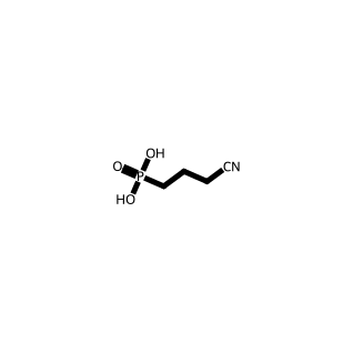 N#CCCCP(=O)(O)O